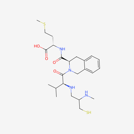 CNC(CS)CN[C@H](C(=O)N1Cc2ccccc2C[C@@H]1C(=O)N[C@@H](CCSC)C(=O)O)C(C)C